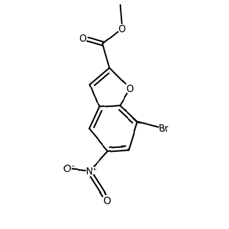 COC(=O)c1cc2cc([N+](=O)[O-])cc(Br)c2o1